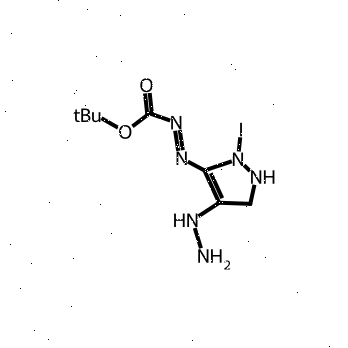 CC(C)(C)OC(=O)N=NC1=C(NN)CNN1I